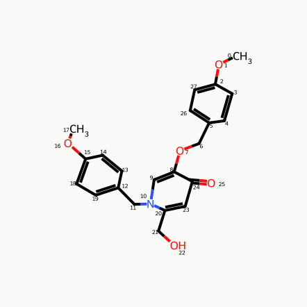 COc1ccc(COc2cn(Cc3ccc(OC)cc3)c(CO)cc2=O)cc1